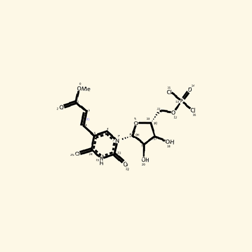 COC(=O)/C=C/c1cn([C@@H]2O[C@H](COP(=O)(Cl)Cl)C(O)C2O)c(=O)[nH]c1=O